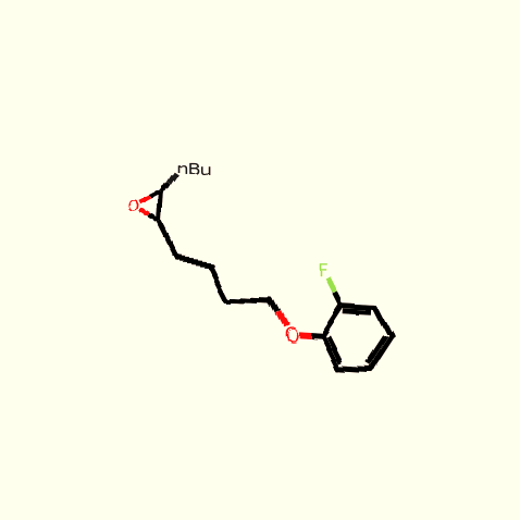 CCCCC1OC1CCCCOc1ccccc1F